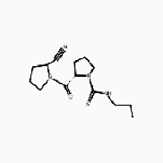 CCCNC(=S)N1CCC[C@H]1C(=O)N1CCCC1C#N